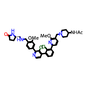 COc1cc(-c2nccc(-c3cccc(-c4ccc(CN5CCC(NC(C)=O)CC5)c(OC)n4)c3Cl)c2Cl)ccc1CNC[C@@H]1CCC(=O)N1